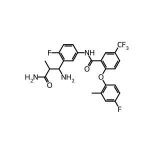 Cc1cc(F)ccc1Oc1ccc(C(F)(F)F)cc1C(=O)Nc1ccc(F)c(C(N)C(C)C(N)=O)c1